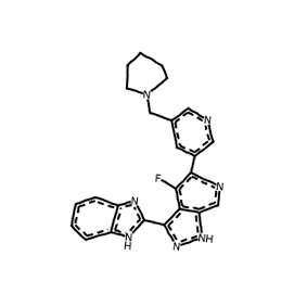 Fc1c(-c2cncc(CN3CCCCC3)c2)ncc2[nH]nc(-c3nc4ccccc4[nH]3)c12